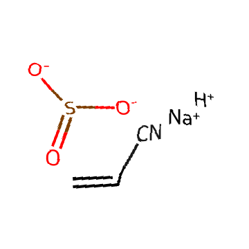 C=CC#N.O=S([O-])[O-].[H+].[Na+]